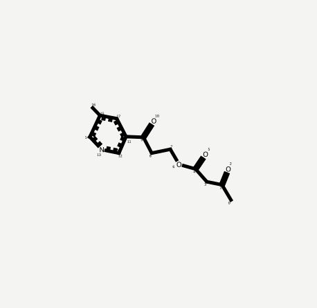 CC(=O)CC(=O)OCCC(=O)c1cncc(C)c1